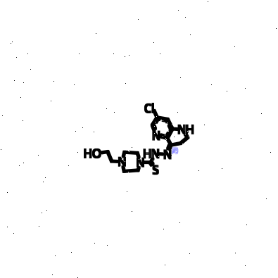 OCCN1CCN(C(=S)N/N=C2/CCNc3cc(Cl)cnc32)CC1